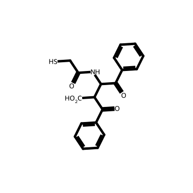 O=C(CS)NC(C(=O)c1ccccc1)C(C(=O)O)C(=O)c1ccccc1